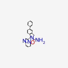 NC(=O)N1Cc2cc(-c3ccccc3)ccc2C1c1cnc2ccccn12